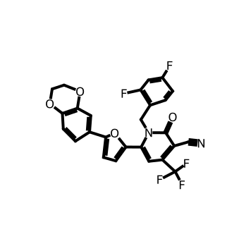 N#Cc1c(C(F)(F)F)cc(-c2ccc(-c3ccc4c(c3)OCCO4)o2)n(Cc2ccc(F)cc2F)c1=O